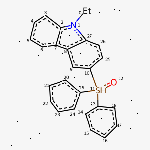 CCn1c2ccccc2c2cc([SH](=O)(c3ccccc3)c3ccccc3)ccc21